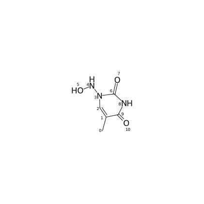 Cc1cn(NO)c(=O)[nH]c1=O